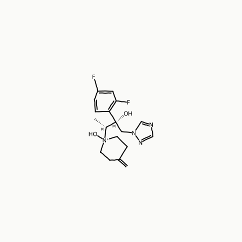 C=C1CC[N+](O)([C@H](C)[C@](O)(Cn2cncn2)c2ccc(F)cc2F)CC1